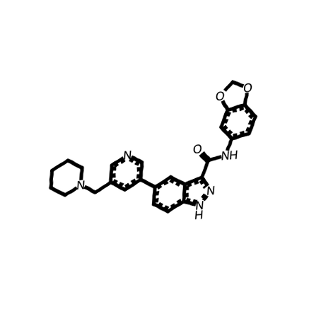 O=C(Nc1ccc2c(c1)OCO2)c1n[nH]c2ccc(-c3cncc(CN4CCCCC4)c3)cc12